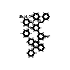 CCC(Cc1ccccc1)c1cc(-c2cc(-c3c4ccccc4c(-c4ccccc4)c4ccccc34)cc(C(C)C)c2)cc2c1B(c1ccccc1C)c1cc(C(C)(C)C)ccc1N2c1ccccc1